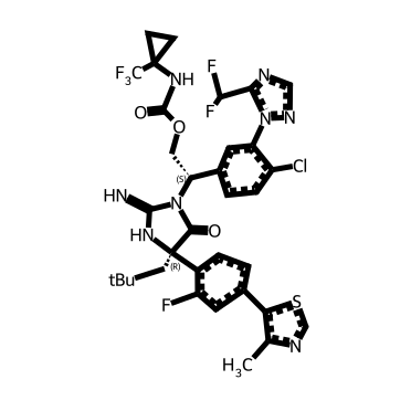 Cc1ncsc1-c1ccc([C@@]2(CC(C)(C)C)NC(=N)N([C@H](COC(=O)NC3(C(F)(F)F)CC3)c3ccc(Cl)c(-n4ncnc4C(F)F)c3)C2=O)c(F)c1